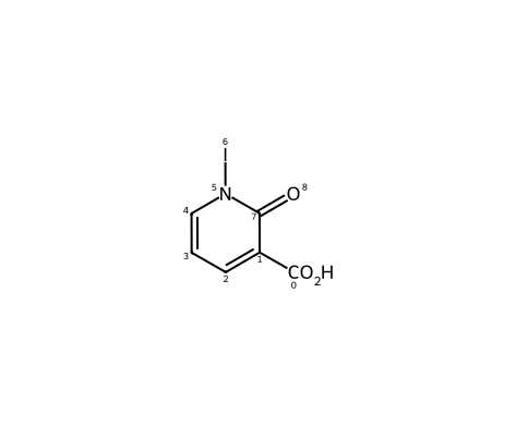 O=C(O)c1cccn(I)c1=O